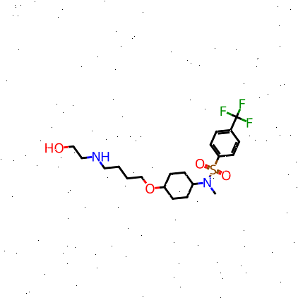 CN(C1CCC(OCCCCNCCO)CC1)S(=O)(=O)c1ccc(C(F)(F)F)cc1